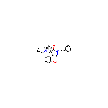 CN(CC1CC1)C(c1cccc(O)c1)C(C)(C)C(=O)NCCc1ccccc1